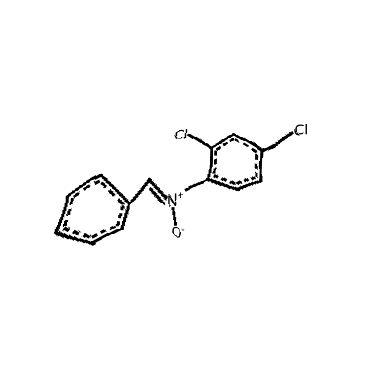 [O-][N+](=Cc1ccccc1)c1ccc(Cl)cc1Cl